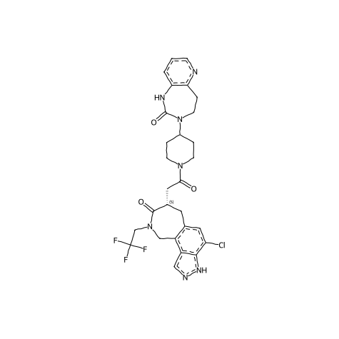 O=C(C[C@@H]1Cc2cc(Cl)c3[nH]ncc3c2CN(CC(F)(F)F)C1=O)N1CCC(N2CCc3ncccc3NC2=O)CC1